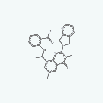 Cc1cc(C(C)Nc2ccccc2C(=O)O)c2nc(N3Cc4cccnc4C3)n(C)c(=O)c2c1